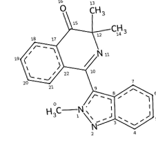 Cn1nc2ccccc2c1C1=NC(C)(C)C(=O)c2ccccc21